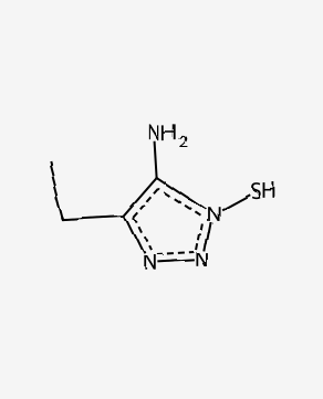 CCc1nnn(S)c1N